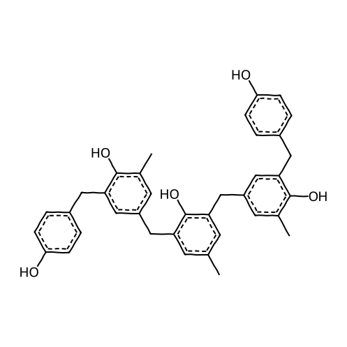 Cc1cc(Cc2cc(C)c(O)c(Cc3ccc(O)cc3)c2)c(O)c(Cc2cc(C)c(O)c(Cc3ccc(O)cc3)c2)c1